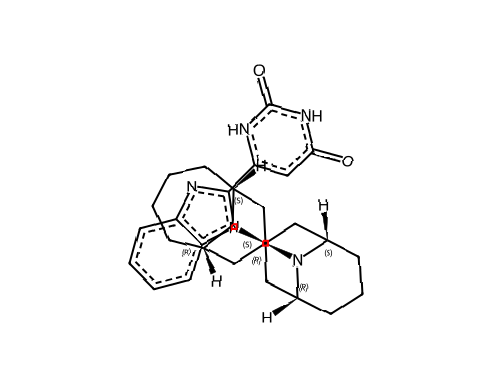 O=c1cc(-c2nc3ccccc3n2[C@@H]2C[C@H]3CCC[C@@H](C2)N3[C@H]2C[C@@H]3CCCC[C@@H](C3)C2)[nH]c(=O)[nH]1